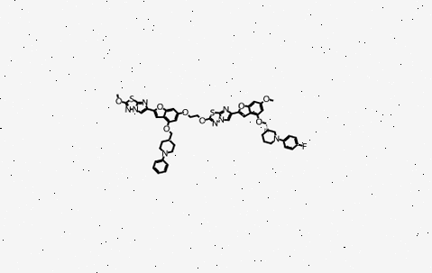 COc1cc(OC[C@H]2CCCN(c3ccc(F)cc3)C2)c2cc(-c3cn4nc(OCCOc5cc(OCC6CCN(c7ccccc7)CC6)c6cc(-c7cn8nc(OC)sc8n7)oc6c5)sc4n3)oc2c1